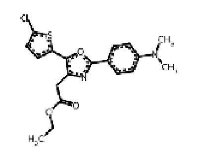 CCOC(=O)Cc1nc(-c2ccc(N(C)C)cc2)oc1-c1ccc(Cl)s1